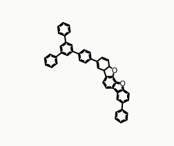 C1=CC2Oc3c(ccc4c3oc3ccc(-c5ccccc5)cc34)C2C=C1c1ccc(-c2cc(-c3ccccc3)cc(-c3ccccc3)c2)cc1